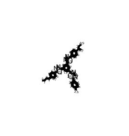 CCCCc1ccc(-c2nnc(-c3cc(-c4nnc(-c5ccc(C)cc5)o4)cc(-c4nnc(-c5ccc(C(C)CC)cc5)o4)c3)o2)cc1